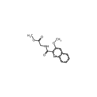 COC(=O)CNC(=O)c1nc2ccccc2cc1OC